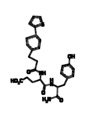 NC(=O)C(Cc1ccc(O)cc1)NC(=O)C(CCC(=O)O)NC(=O)CCc1ccc(-c2cccs2)cc1